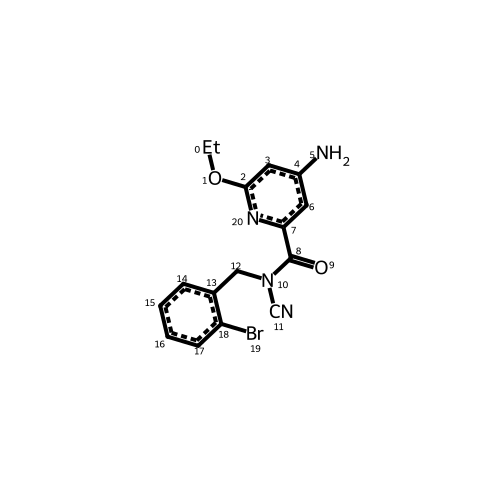 CCOc1cc(N)cc(C(=O)N(C#N)Cc2ccccc2Br)n1